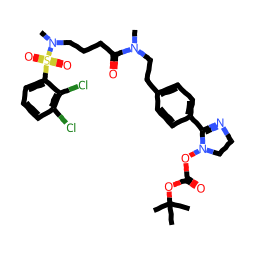 CN(CCc1ccc(C2=NCCN2OC(=O)OC(C)(C)C)cc1)C(=O)CCCN(C)S(=O)(=O)c1cccc(Cl)c1Cl